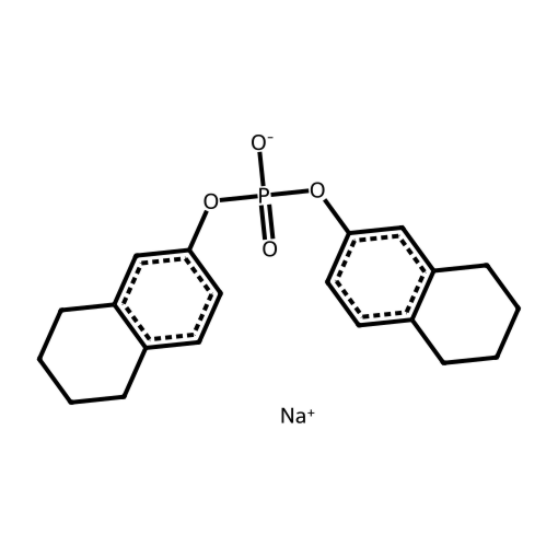 O=P([O-])(Oc1ccc2c(c1)CCCC2)Oc1ccc2c(c1)CCCC2.[Na+]